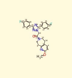 COc1ccc2c(n1)CCN(C(=O)Cn1nc(-c3ccc(F)cc3)nc1-c1ccc(F)cc1)CC2